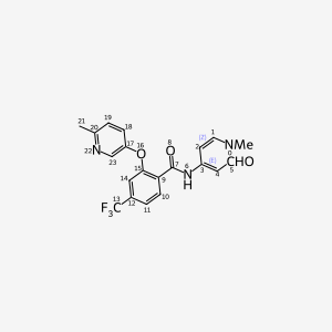 CN/C=C\C(=C/C=O)NC(=O)c1ccc(C(F)(F)F)cc1Oc1ccc(C)nc1